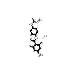 CCOC(C)Oc1ccc(PC(=O)c2c(C)cc(C(C)(C)C)cc2C)cc1.[LiH]